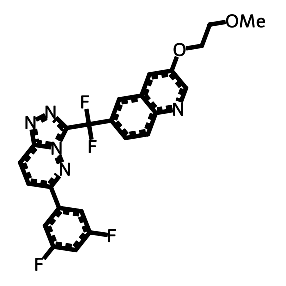 COCCOc1cnc2ccc(C(F)(F)c3nnc4ccc(-c5cc(F)cc(F)c5)nn34)cc2c1